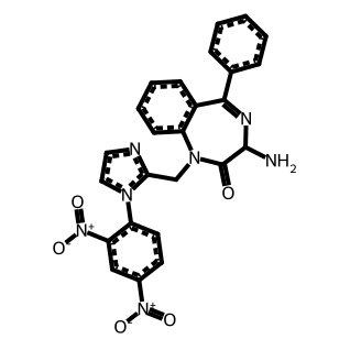 NC1N=C(c2ccccc2)c2ccccc2N(Cc2nccn2-c2ccc([N+](=O)[O-])cc2[N+](=O)[O-])C1=O